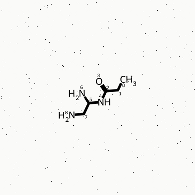 CCC(=O)NC(N)CN